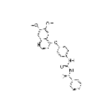 COc1cc2nccc(Oc3ccc(NC(=O)NC(=O)c4ccccc4)cc3)c2cc1OC